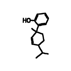 CC(C)C1C=CC(C)(c2ccccc2O)CC1